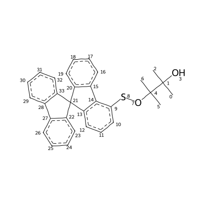 CC(C)(O)C(C)(C)OSc1cccc2c1-c1ccccc1C21c2ccccc2-c2ccccc21